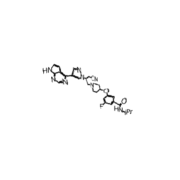 CC(C)NC(=O)c1cc(F)cc(OC2CCN(CC(CC#N)n3cc(-c4ncnc5[nH]ccc45)cn3)CC2)c1